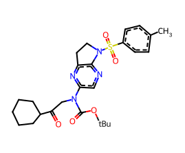 Cc1ccc(S(=O)(=O)N2CCc3nc(N(CC(=O)C4CCCCC4)C(=O)OC(C)(C)C)cnc32)cc1